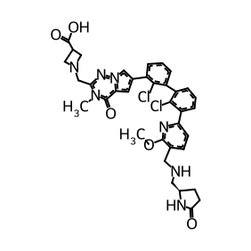 COc1nc(-c2cccc(-c3cccc(-c4cc5c(=O)n(C)c(CN6CC(C(=O)O)C6)nn5c4)c3Cl)c2Cl)ccc1CNC[C@H]1CCC(=O)N1